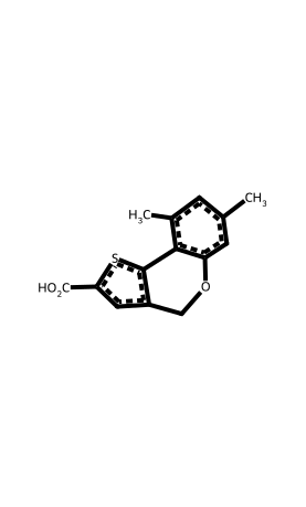 Cc1cc(C)c2c(c1)OCc1cc(C(=O)O)sc1-2